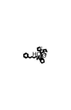 C[N+](C)(CCCCc1ccccc1)C1CC2CCC1C2OC(=O)C(O)(c1cccs1)c1cccs1